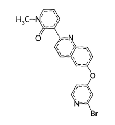 Cn1cccc(-c2ccc3cc(Oc4ccnc(Br)c4)ccc3n2)c1=O